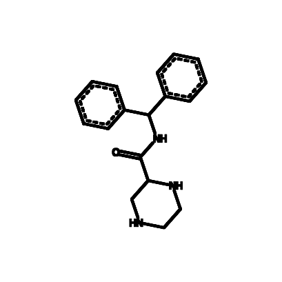 O=C(NC(c1ccccc1)c1ccccc1)C1CNCCN1